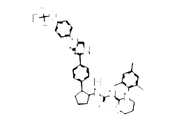 Cc1cc(C)c(N2CCCS/C2=N\C(=O)NC2CCCC2c2ccc(-c3ncn(-c4ccc(OC(F)(F)F)cc4)n3)cc2)c(C)c1